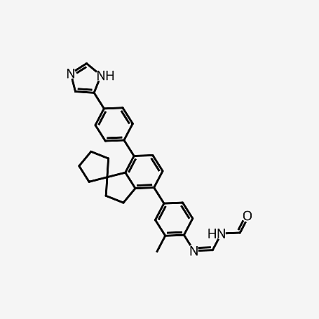 Cc1cc(-c2ccc(-c3ccc(-c4cnc[nH]4)cc3)c3c2CCC32CCCC2)ccc1/N=C\NC=O